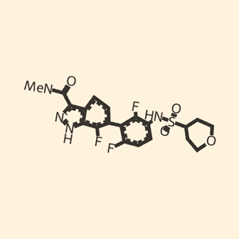 CNC(=O)c1n[nH]c2c(F)c(-c3c(F)ccc(NS(=O)(=O)C4CCOCC4)c3F)ccc12